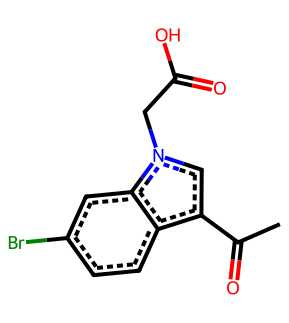 CC(=O)c1cn(CC(=O)O)c2cc(Br)ccc12